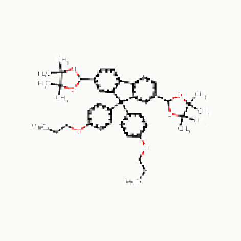 COCCOc1ccc(C2(c3ccc(OCCOC)cc3)c3cc(C4OC(C)(C)C(C)(C)O4)ccc3-c3ccc(C4OC(C)(C)C(C)(C)O4)cc32)cc1